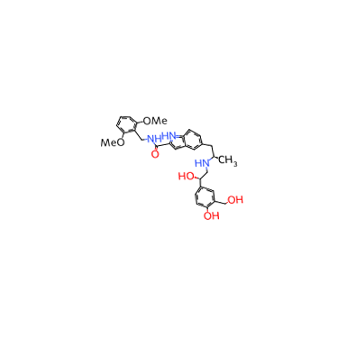 COc1cccc(OC)c1CNC(=O)c1cc2cc(C[C@@H](C)NC[C@H](O)c3ccc(O)c(CO)c3)ccc2[nH]1